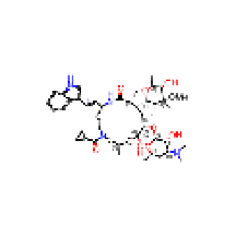 CO[C@]1(C)C[C@H](C2[C@@H](C)C(=O)NC(/C=C/c3c[nH]c4ccccc34)CCN(C(=O)C3CC3)C[C@H](C)C[C@@](C)(O)[C@H](O[C@@H]3O[C@H](C)C[C@H](N(C)C)[C@H]3O)[C@H]2C)O[C@@H](C)C1O